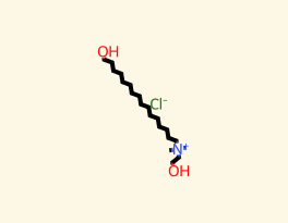 C[N+](C)(CCO)CCCCCCCCCCCCCCCCO.[Cl-]